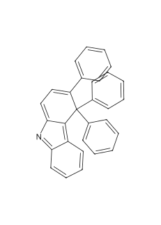 C1=C2N=c3ccccc3=C2C(c2ccccc2)(c2ccccc2)C(c2ccccc2)=C1